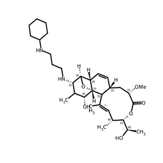 CO[C@H]1C[C@H]2C=C[C@H]3[C@H]4O[C@]2(/C(C)=C/[C@@H](C)[C@@H]([C@@H](C)O)OC1=O)[C@@H]3[C@H](O)C(C)[C@@H]4NCCCNC1CCCCC1